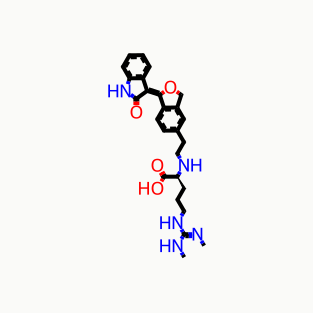 CN=C(NC)NCCC[C@H](NCCc1ccc2c(c1)COC2=C1C(=O)Nc2ccccc21)C(=O)O